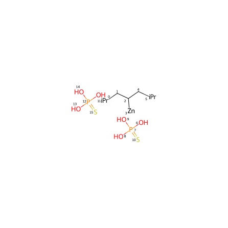 CC(C)C[CH]([Zn])CC(C)C.OP(O)(O)=S.OP(O)(O)=S